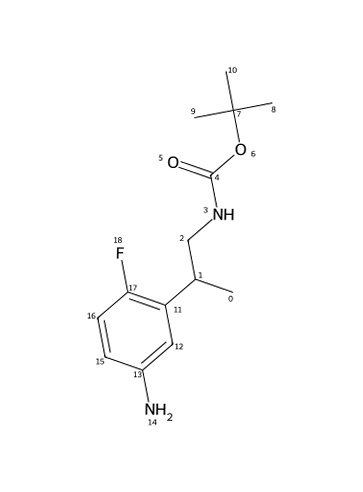 CC(CNC(=O)OC(C)(C)C)c1cc(N)ccc1F